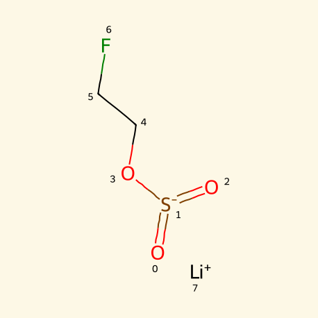 O=[S-](=O)OCCF.[Li+]